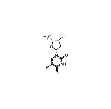 [CH2][C@H]1O[C@@H](n2cc(F)c(=O)[nH]c2=O)C[C@@H]1O